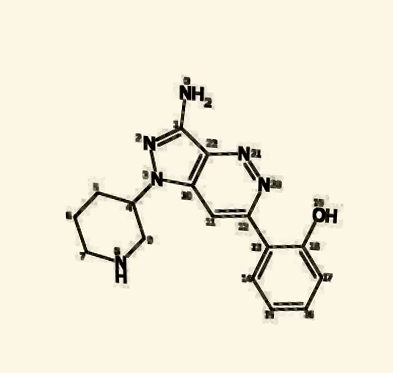 Nc1nn(C2CCCNC2)c2cc(-c3ccccc3O)nnc12